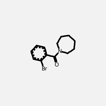 O=C(c1ccccc1Br)N1CCCCCC1